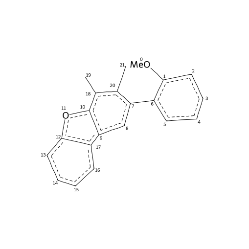 COc1ccccc1-c1cc2c(oc3ccccc32)c(C)c1C